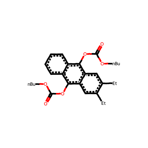 CCCCOC(=O)Oc1c2ccccc2c(OC(=O)OCCCC)c2cc(CC)c(CC)cc12